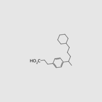 CC(CCCC1CCCCC1)c1ccc(CCC(=O)O)cc1